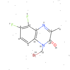 Cc1nc2c(F)c(F)ccc2n(CBr)c1=O